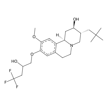 COc1cc2c(cc1OCC(O)CC(F)(F)F)CCN1C[C@@H](CC(C)(C)C)[C@H](O)C[C@H]21